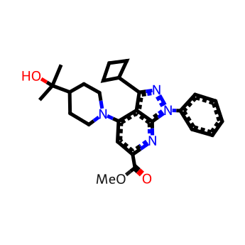 COC(=O)c1cc(N2CCC(C(C)(C)O)CC2)c2c(C3CCC3)nn(-c3ccccc3)c2n1